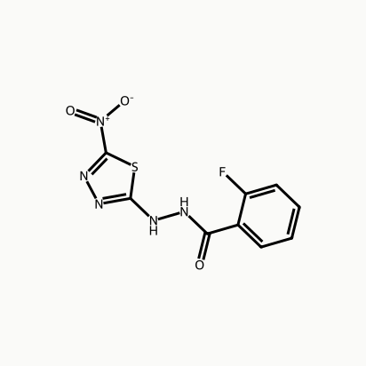 O=C(NNc1nnc([N+](=O)[O-])s1)c1ccccc1F